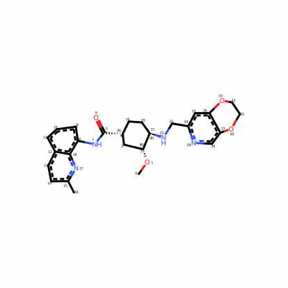 CO[C@@H]1C[C@H](C(=O)Nc2cccc3ccc(C)nc23)CC[C@H]1NCc1cc2c(cn1)OCCO2